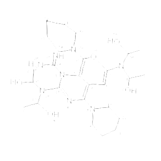 CC(O)N(C1=CC2=C(N3CCCCC3)N=C(N(C(C)O)C(C)O)N(C(=N)N)C2=C(N2CCCCC2)O1)C(C)O